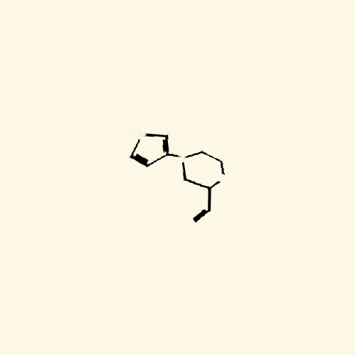 O=CC1CN(c2cc[nH]c2)CCO1